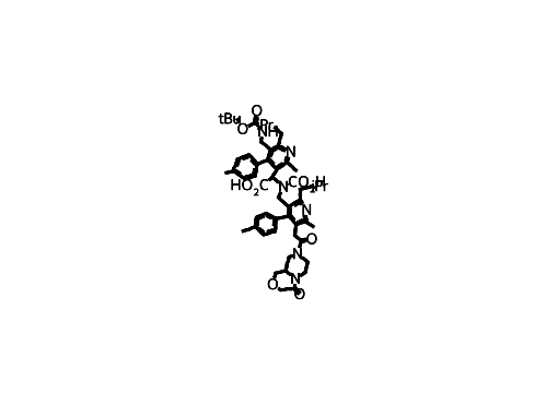 Cc1ccc(-c2c(CC(=O)N3CCN4C(=O)COCC4C3)c(C)nc(CC(C)C)c2CN(C(=O)O)C(C(=O)O)c2c(C)nc(CC(C)C)c(CNC(=O)OC(C)(C)C)c2-c2ccc(C)cc2)cc1